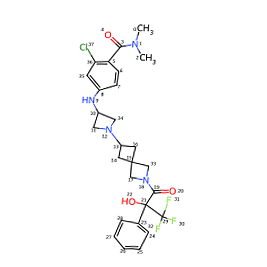 CN(C)C(=O)c1ccc(NC2CN(C3CC4(C3)CN(C(=O)C(O)(c3ccccc3)C(F)(F)F)C4)C2)cc1Cl